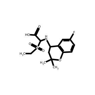 CCS(=O)(=O)C(NC1CC(C)(C)Oc2ccc(F)cc21)C(=O)O